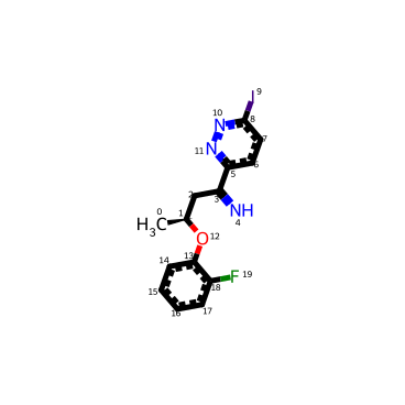 C[C@@H](CC(=N)c1ccc(I)nn1)Oc1ccccc1F